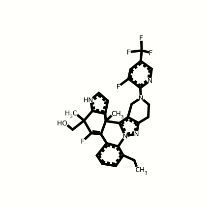 CCc1cccc2c1-n1nc3c(c1C1(C)C2=C(F)C(C)(CO)c2[nH]ccc21)CN(c1ncc(C(F)(F)F)cc1F)CC3